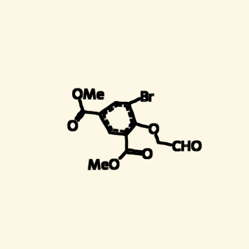 COC(=O)c1cc(Br)c(OCC=O)c(C(=O)OC)c1